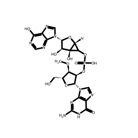 CO[C@H]1[C@@H](OP(=O)(O)OC2[C@H]3O[C@@H](n4cnc5c(O)ncnc54)[C@H](O)[C@@]23O)[C@H](n2cnc3c(=O)[nH]c(N)nc32)O[C@@H]1CO